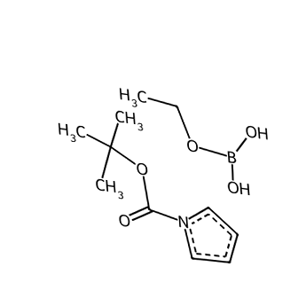 CC(C)(C)OC(=O)n1cccc1.CCOB(O)O